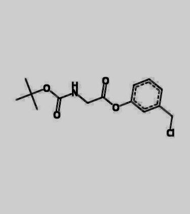 CC(C)(C)OC(=O)NCC(=O)Oc1cccc(CCl)c1